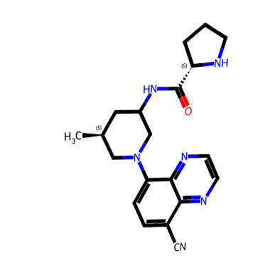 C[C@H]1CC(NC(=O)[C@@H]2CCCN2)CN(c2ccc(C#N)c3nccnc23)C1